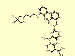 COc1nc(OCc2cccc(-c3cccc(OCCCN4CCC(F)(F)C4)c3C)c2C)ncc1CN1CCCCC1C(=O)O